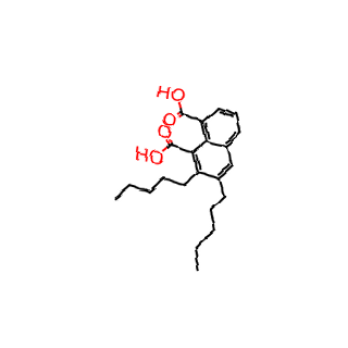 CCCCCc1cc2cccc(C(=O)O)c2c(C(=O)O)c1CCCCC